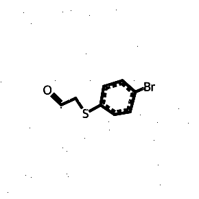 O=[C]CSc1ccc(Br)cc1